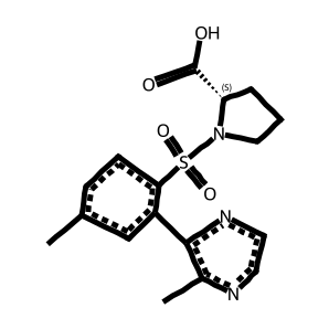 Cc1ccc(S(=O)(=O)N2CCC[C@H]2C(=O)O)c(-c2nccnc2C)c1